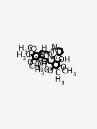 COc1c(C)c(OC)c2c(c1O)[C@H](c1ccccn1)N1[C@@H](C#N)[C@@H]3Cc4c(OC)c(C)c(OC)c(O)c4[C@H]([C@@H]1C2)N3C